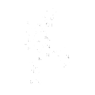 Cc1c(C(=O)N(C)C)nn2c1CN(c1nc(OC[C@@]34CCCN3C[C@H](F)C4)nc3c(F)c(-c4ccc(F)c5sc(NC(=O)OC(C)(C)C)c(C#N)c45)c(C(F)(F)F)cc13)CC2